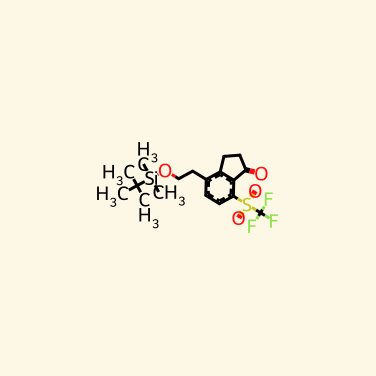 CC(C)(C)[Si](C)(C)OCCc1ccc(S(=O)(=O)C(F)(F)F)c2c1CCC2=O